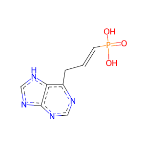 O=P(O)(O)C=CCc1ncnc2nc[nH]c12